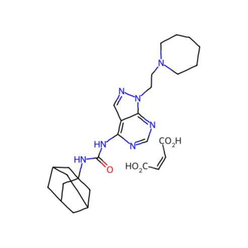 O=C(Nc1ncnc2c1cnn2CCN1CCCCCC1)NC12CC3CC(CC(C3)C1)C2.O=C(O)/C=C\C(=O)O